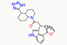 CC(CC(=O)N1CCCC2C(c3nnn[nH]3)CCCC21)c1c[nH]c2cccc(-c3ccco3)c12